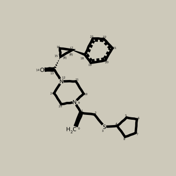 C=C(CSC1CCCC1)N1CCN(C(=O)[C@@H]2C[C@H]2c2ccccc2)CC1